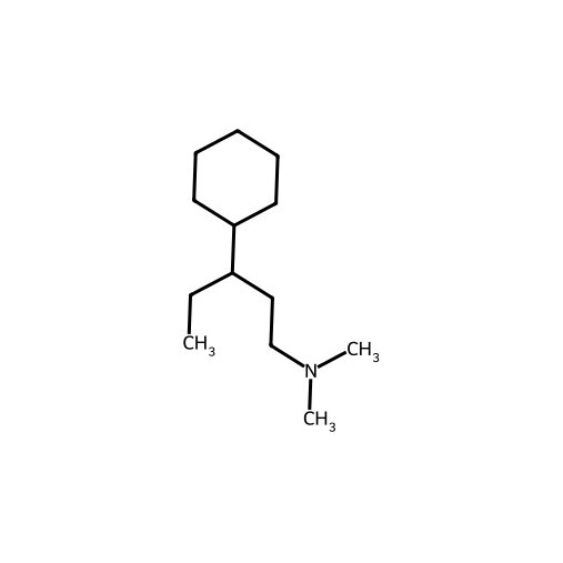 CCC(CCN(C)C)C1CCCCC1